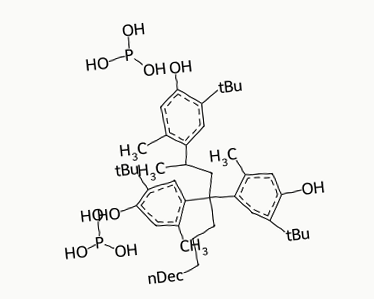 CCCCCCCCCCCCCC(CC(C)c1cc(C(C)(C)C)c(O)cc1C)(c1cc(C(C)(C)C)c(O)cc1C)c1cc(C(C)(C)C)c(O)cc1C.OP(O)O.OP(O)O